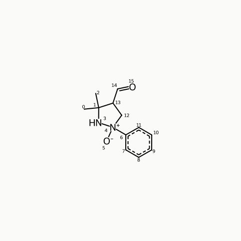 CC1(C)N[N+]([O-])(c2ccccc2)CC1C=O